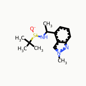 CC(N[S@@+]([O-])C(C)(C)C)c1cccc2nn(C)cc12